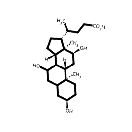 CC(CCC(=O)O)[C@H]1CC[C@H]2C3C(O)CC4C[C@H](O)CC[C@]4(C)[C@H]3C[C@H](O)[C@]12C